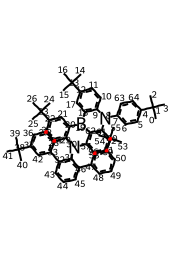 CC(C)(C)c1ccc(N2c3ccc(C(C)(C)C)cc3B3c4cc(C(C)(C)C)ccc4N(c4c(-c5cccc(C(C)(C)C)c5)cccc4-c4cccc(C(C)(C)C)c4)c4cccc2c43)cc1